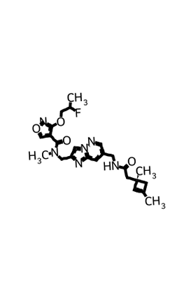 CC1=C[C@@](C)(CC(=O)NCc2cnn3cc(CN(C)C(=O)c4conc4OCC(C)F)nc3c2)C1